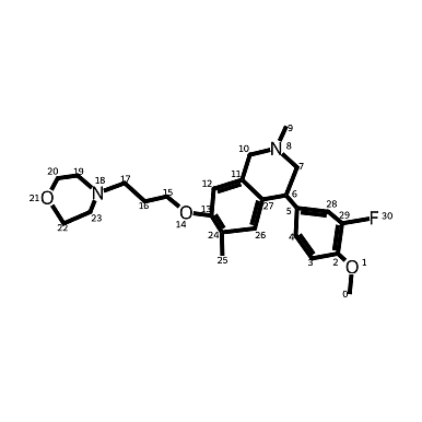 COc1ccc(C2CN(C)Cc3cc(OCCCN4CCOCC4)c(C)cc32)cc1F